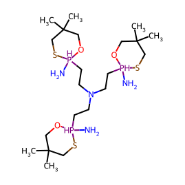 CC1(C)CO[PH](N)(CCN(CC[PH]2(N)OCC(C)(C)CS2)CC[PH]2(N)OCC(C)(C)CS2)SC1